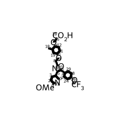 COc1ccc(-c2nc(COc3ccc(OCC(=O)O)c(C)c3)oc2-c2ccc(OC(F)(F)F)cc2)cn1